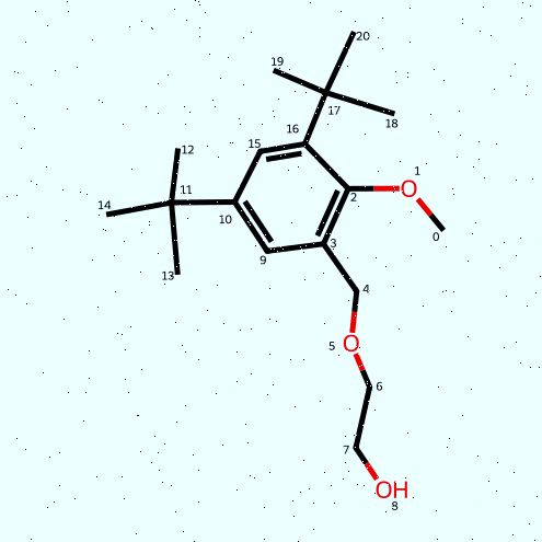 COc1c(COCCO)cc(C(C)(C)C)cc1C(C)(C)C